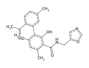 C=C(C)c1ccc(C)cc1-c1c(O)cc(C)c(C(=O)NCc2cnco2)c1O